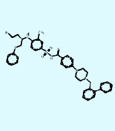 Cc1cc(S(=O)(=O)NC(=O)c2ccc(N3CCN(Cc4ccccc4-c4ccccc4)CC3)cc2)ccc1N[C@H](CCC(C)C)CSc1ccccc1